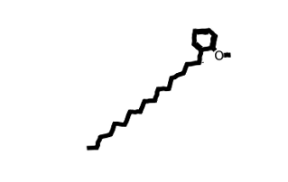 CCCCCCCCCCCCCCC[CH]c1ccccc1OC